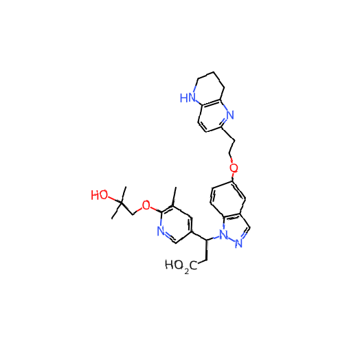 Cc1cc(C(CC(=O)O)n2ncc3cc(OCCc4ccc5c(n4)CCCN5)ccc32)cnc1OCC(C)(C)O